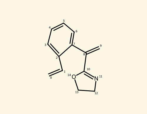 C=Cc1ccccc1C(=C)C1=NCCO1